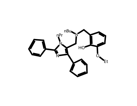 CCCCN(Cc1cccc(OCC)c1O)Cc1c(-c2ccccc2)nc(-c2ccccc2)n1CCC